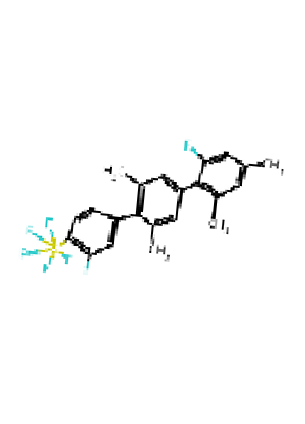 Cc1cc(C)c(-c2cc(C)c(-c3ccc(S(F)(F)(F)(F)F)c(F)c3)c(C)c2)c(F)c1